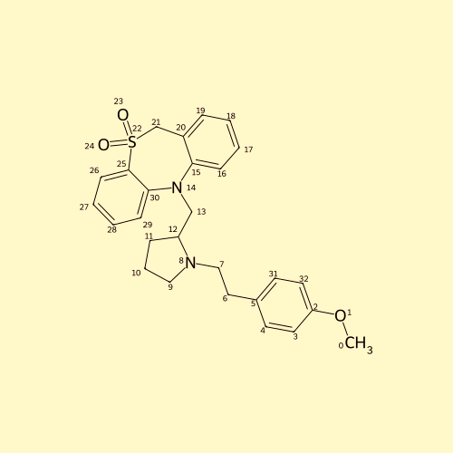 COc1ccc(CCN2CCCC2CN2c3ccccc3CS(=O)(=O)c3ccccc32)cc1